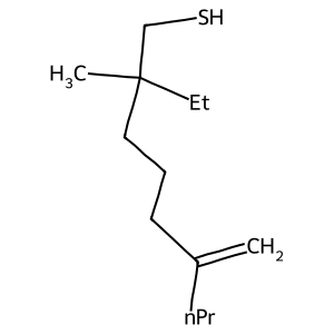 C=C(CCC)CCCC(C)(CC)CS